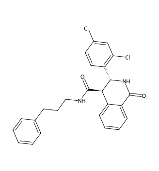 O=C1N[C@@H](c2ccc(Cl)cc2Cl)[C@H](C(=O)NCCCc2ccccc2)c2ccccc21